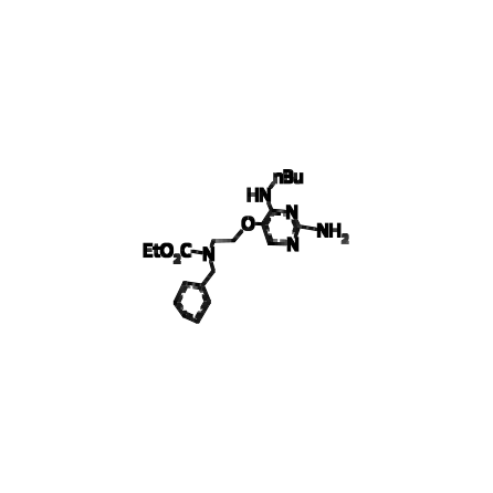 CCCCNc1nc(N)ncc1OCCN(Cc1ccccc1)C(=O)OCC